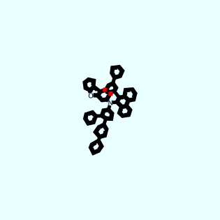 c1ccc(-c2ccc(-c3ccc(N(c4ccc5c(c4)oc4ccccc45)c4c(-c5cccc(-c6ccccc6)c5)c5ccccc5c5ccccc45)cc3-c3ccccc3)cc2)cc1